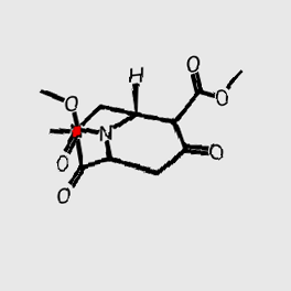 COC(=O)C1C(=O)CC2C(=O)N(C)C[C@H]1N2C(=O)OC